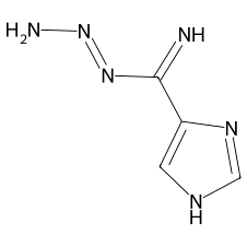 N=C(N=NN)c1c[nH]cn1